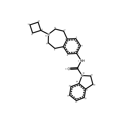 O=C(Nc1ccc2c(c1)CCN(C1CCC1)CC2)N1CCc2ccccc21